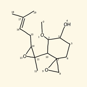 COC1C(O)CCC2(CO2)C1C1(C)OC1CC=C(C)C